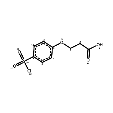 O=C(O)CCOc1ccc(S(=O)(=O)Cl)cc1